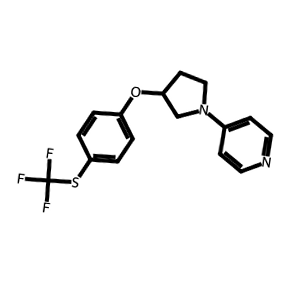 FC(F)(F)Sc1ccc(OC2CCN(c3ccncc3)C2)cc1